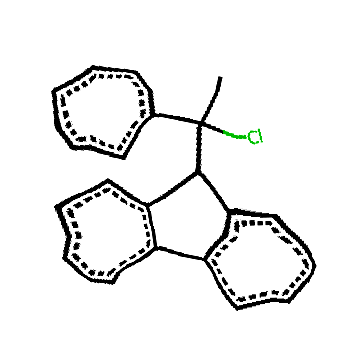 CC(Cl)(c1ccccc1)C1c2ccccc2-c2ccccc21